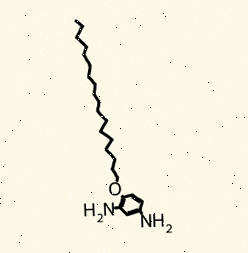 CCCCCCCCCCCCCCCCCCOc1ccc(N)cc1N